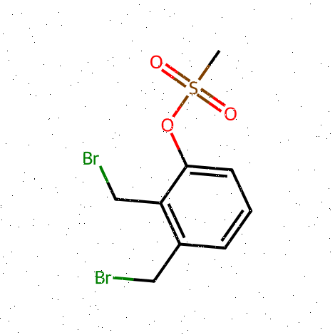 CS(=O)(=O)Oc1cccc(CBr)c1CBr